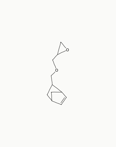 C1=CC2CC1CC2COCC1CO1